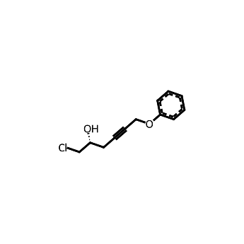 O[C@@H](CCl)CC#CCOc1ccccc1